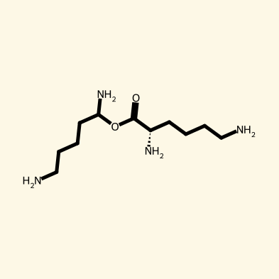 NCCCCC(N)OC(=O)[C@@H](N)CCCCN